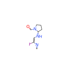 C=N/C(I)=C\N[C@@H]1CCCN1C=O